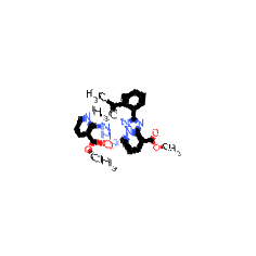 COC(=O)c1cccn2nc(-c3ccccc3C(C)C)nc12.COC(=O)c1cccnc1N